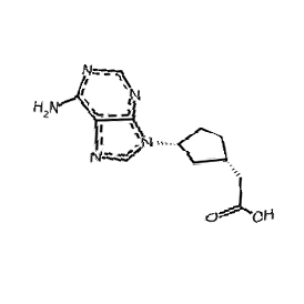 Nc1ncnc2c1ncn2[C@@H]1CC[C@H](CC(=O)O)C1